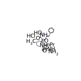 CCCC(CC(C)C)(C(=O)NN)C(=O)[C@@]1([C@H](C/C=C/c2ccccc2)C(=O)NO)CC(C)CCN1.Cl